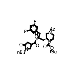 CCCCN1CC(C(=O)NC(Cc2cc(F)cc(F)c2)C[C@H]2CN(C(C)=O)CCN2C(=O)OC(C)(C)C)CC1=O